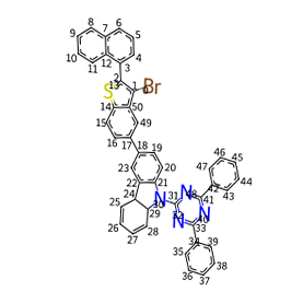 Brc1c(-c2cccc3ccccc23)sc2ccc(-c3ccc4c(c3)C3C=CC=CC3N4c3nc(-c4ccccc4)nc(-c4ccccc4)n3)cc12